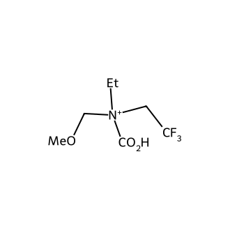 CC[N+](COC)(CC(F)(F)F)C(=O)O